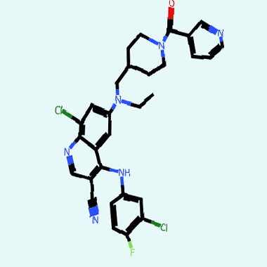 CCN(CC1CCN(C(=O)c2cccnc2)CC1)c1cc(Cl)c2ncc(C#N)c(Nc3ccc(F)c(Cl)c3)c2c1